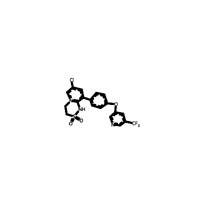 O=S1(=O)CC[n+]2cc(Cl)cc(-c3ccc(Oc4cncc(C(F)(F)F)c4)cc3)c2N1